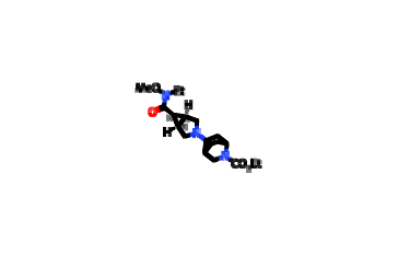 CCOC(=O)N1CC2CCC1CC2N1C[C@@H]2[C@H](C1)[C@@H]2C(=O)N(CC)OC